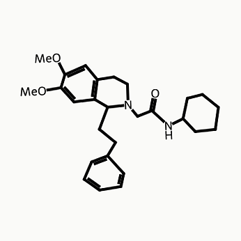 COc1cc2c(cc1OC)C(CCc1ccccc1)N(CC(=O)NC1CCCCC1)CC2